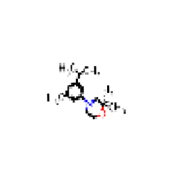 Cc1cc(C(C)C)cc(N2CCOC(C)(C)C2)c1